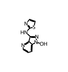 On1nc(Nc2nccs2)c2ncccc21